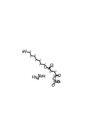 CC(C)CCCCCCCOC(=O)CCC(=O)O[SH](=O)=O.[NaH].[NaH]